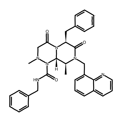 C[C@H]1[C@H]2N(C(=O)CN(C)N2C(=O)NCc2ccccc2)[C@@H](Cc2cc[c]cc2)C(=O)N1Cc1cccc2cccnc12